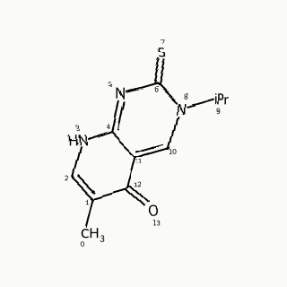 Cc1c[nH]c2nc(=S)n(C(C)C)cc2c1=O